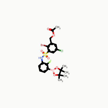 CC(=O)OCc1cc(Cl)cc(S(=O)(=O)Nc2cccc(B3OC(C)(C)C(C)(C)O3)c2F)c1Br